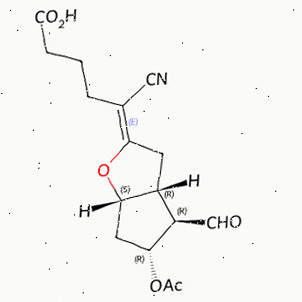 CC(=O)O[C@@H]1C[C@@H]2O/C(=C(/C#N)CCCC(=O)O)C[C@@H]2[C@H]1C=O